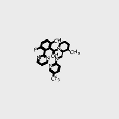 Cc1ccc(F)c(-c2ncccn2)c1C(=O)N1CCC[C@@H](C)[C@H]1CNc1ccc(C(F)(F)F)cn1